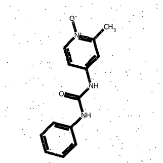 Cc1cc(NC(=O)Nc2ccccc2)cc[n+]1[O-]